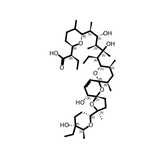 CC[C@H]([C@H]1O[C@]2(C=C[C@@H](O)[C@]3(CC[C@@](C)([C@H]4CC[C@](O)(CC)[C@H](C)O4)O3)O2)[C@H](C)C[C@@H]1C)[C@@](C)(O)[C@@H](C)[C@@H](O)[C@H](C)[C@@H]1O[C@@H]([C@@H](CC)C(=O)O)CCC1C